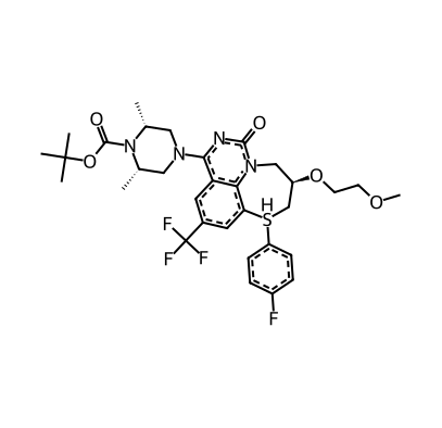 COCCO[C@@H]1Cn2c(=O)nc(N3C[C@@H](C)N(C(=O)OC(C)(C)C)[C@@H](C)C3)c3cc(C(F)(F)F)cc(c32)[SH](c2ccc(F)cc2)C1